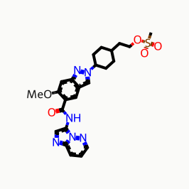 COc1cc2nn(C3CCC(CCOS(C)(=O)=O)CC3)cc2cc1C(=O)Nc1cnc2cccnn12